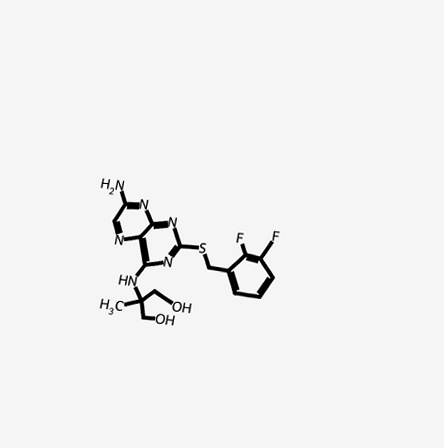 CC(CO)(CO)Nc1nc(SCc2cccc(F)c2F)nc2nc(N)cnc12